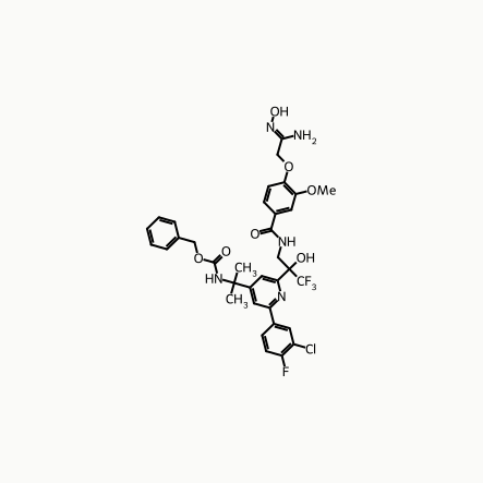 COc1cc(C(=O)NCC(O)(c2cc(C(C)(C)NC(=O)OCc3ccccc3)cc(-c3ccc(F)c(Cl)c3)n2)C(F)(F)F)ccc1OC/C(N)=N/O